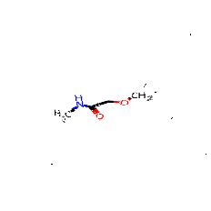 [CH2]OCC(=O)NC